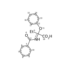 CCC(NC(=O)c1ccccc1)(Oc1ccccc1)C(=O)O